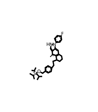 CC(C)[Si](OCc1ccc(CCC2CCCC3=C2[C@@H](C)C2=CNN(c4ccc(F)cc4)C2=C3)cc1)(C(C)C)C(C)C